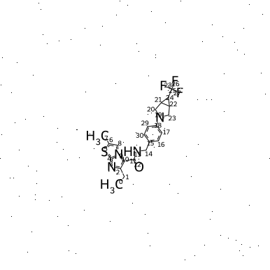 CCc1nc2sc(C)cn2c1C(=O)NCc1ccc(N2CC3C(C2)C3C(F)(F)F)cc1